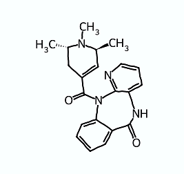 C[C@H]1C=C(C(=O)N2c3ccccc3C(=O)Nc3cccnc32)C[C@H](C)N1C